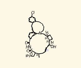 CC(C)CC1[C@H](C)C/C=C/[C@H](O)[C@@H]2CC[C@H]2CN2CCCCc3cc(Cl)ccc3CCc3ccc(cc32)C(=O)NS1(=O)=O